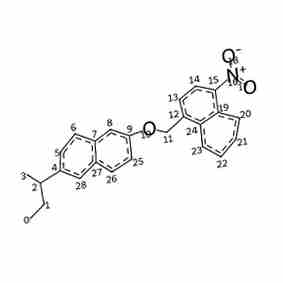 CCC(C)c1ccc2cc(OCc3ccc([N+](=O)[O-])c4ccccc34)ccc2c1